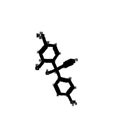 Cc1ccc(C(Cl)(C#N)c2ccc(N)cc2Cl)cc1